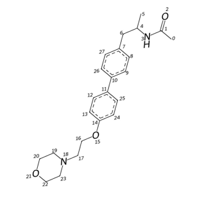 CC(=O)NC(C)Cc1ccc(-c2ccc(OCCN3CCOCC3)cc2)cc1